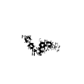 CC1(C)Cc2nc3c(F)cc(-c4nc(Nc5ccc(N6CCNCC6)cn5)ncc4F)cc3n2C1(C)C